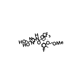 COCCOc1c([C@@H]2[C@@H](C(=O)Nc3cnc([C@@H](O)CO)nc3)O[C@](C)(C(F)(F)F)[C@@H]2C)ccc(F)c1C